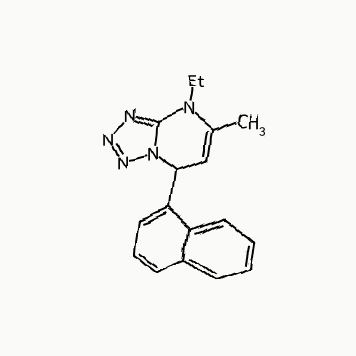 CCN1C(C)=CC(c2cccc3ccccc23)n2nnnc21